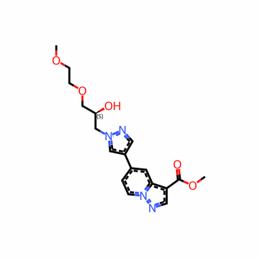 COCCOC[C@@H](O)Cn1cc(-c2ccn3ncc(C(=O)OC)c3c2)cn1